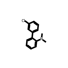 CN(C)c1ccccc1-c1cccc(Cl)c1